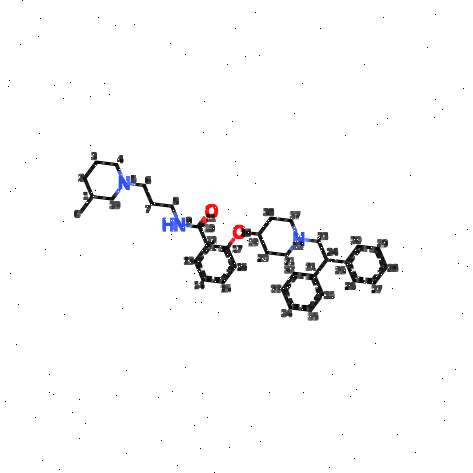 CC1CCCN(CCCNC(=O)c2ccccc2OC2CCN(CC(c3ccccc3)c3ccccc3)CC2)C1